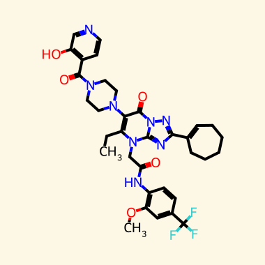 CCc1c(N2CCN(C(=O)c3ccncc3O)CC2)c(=O)n2nc(C3=CCCCCC3)nc2n1CC(=O)Nc1ccc(C(F)(F)F)cc1OC